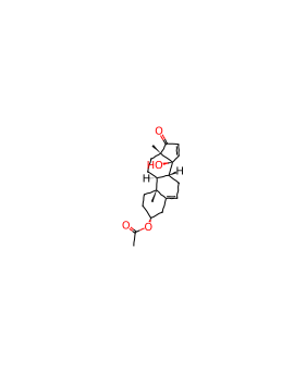 CC(=O)O[C@H]1CC[C@@]2(C)C(=CC[C@@H]3[C@@H]2CC[C@]2(C)C(=O)C=C[C@]32O)C1